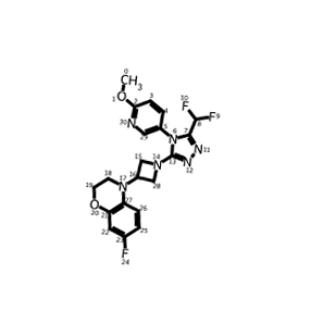 COc1ccc(-n2c(C(F)F)nnc2N2CC(N3CCOc4cc(F)ccc43)C2)cn1